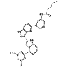 CCCCC(=O)Nc1cncc(-c2ccc3[nH]nc(-c4cc5c(-c6cc(O)cc(F)c6)nccc5[nH]4)c3n2)c1